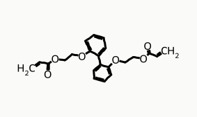 C=CC(=O)OCCOc1ccccc1-c1ccccc1OCCOC(=O)C=C